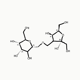 OCC1O[C@H](COCC2[C@@H](O)[C@@H](CO)O[C@@]2(O)CO)C(O)[C@H](O)[C@@H]1O